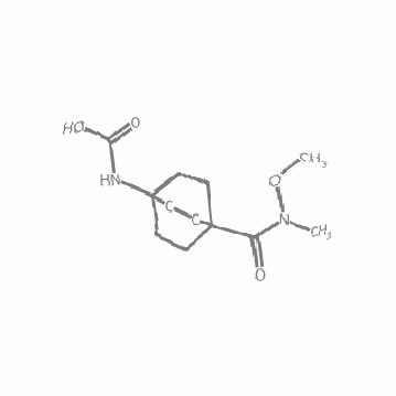 CON(C)C(=O)C12CCC(NC(=O)O)(CC1)CC2